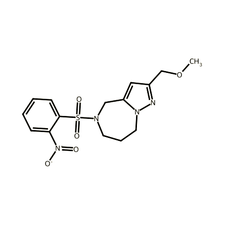 COCc1cc2n(n1)CCCN(S(=O)(=O)c1ccccc1[N+](=O)[O-])C2